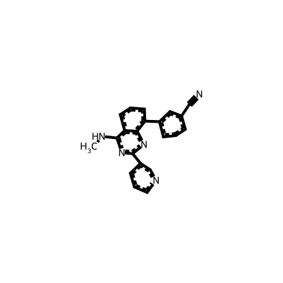 CNc1nc(-c2cccnc2)nc2c(-c3cccc(C#N)c3)cccc12